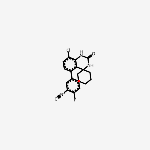 [C-]#[N+]c1cc(-c2ccc(Cl)c3c2C2(CCCCC2)NC(=O)N3)ccc1F